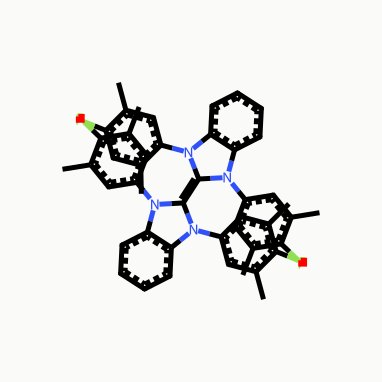 Cc1cc(N2C(=C3N(c4cc(C)c(F)c(C)c4)c4ccccc4N3c3cc(C)c(F)c(C)c3)N(c3cc(C)c(F)c(C)c3)c3ccccc32)c(C)cc1F